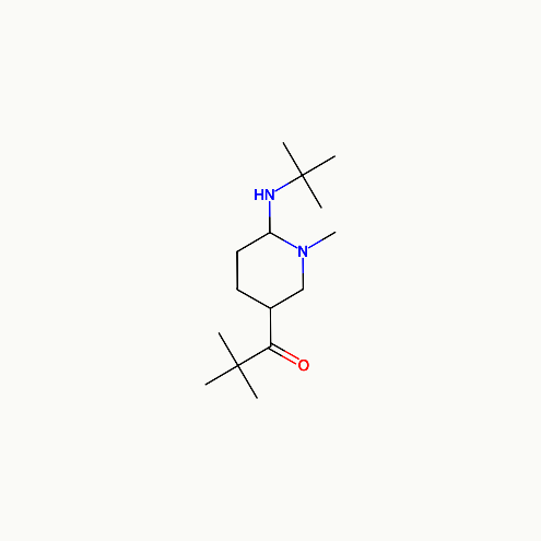 CN1CC(C(=O)C(C)(C)C)CCC1NC(C)(C)C